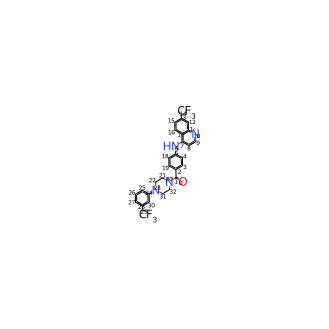 O=C(c1ccc(Nc2ccnc3cc(C(F)(F)F)ccc23)cc1)N1CCN(c2cccc(C(F)(F)F)c2)CC1